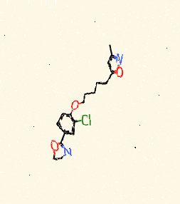 Cc1cc(CCCCCOc2ccc(C3=NCCO3)cc2Cl)on1